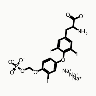 NC(Cc1cc(I)c(Oc2ccc(OCOP(=O)([O-])[O-])c(I)c2)c(I)c1)C(=O)[O-].[Na+].[Na+].[Na+]